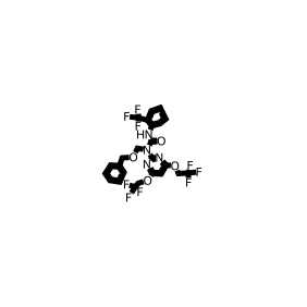 O=C(Nc1ccccc1C(F)(F)F)N(COCc1ccccc1)c1nc(OCC(F)(F)F)cc(OCC(F)(F)F)n1